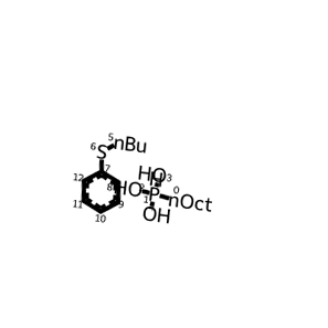 CCCCCCCC[PH](O)(O)O.CCCCSc1ccccc1